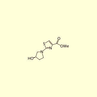 COC(=O)c1csc(N2CC[C@@H](O)C2)n1